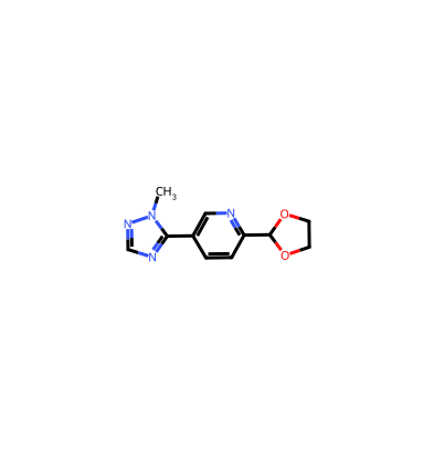 Cn1ncnc1-c1ccc(C2OCCO2)nc1